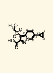 CCS(=O)(=O)c1c(C(=O)O)nn2cc(C3CC3)ccc12